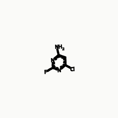 Nc1cc(Cl)nc(F)n1